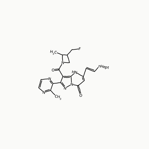 CCCCCCCC=Cc1cc(=O)n2nc(-c3nccnc3C)c(C(=O)N3CC(CF)C3C)c2[nH]1